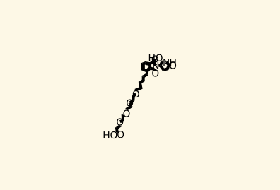 O=C(O)CCOCCOCCOCCOCCCCCCc1cccc2c1C(=O)N(C1CCC(=O)NC1O)C2=O